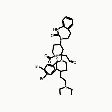 CCN(CC)CCC1CCN(C2(CC=O)CC(N3CCc4ccccc4NC3=O)CC[N@+]2(Cc2ccc(Br)c(Br)c2)C(=O)[O-])CC1